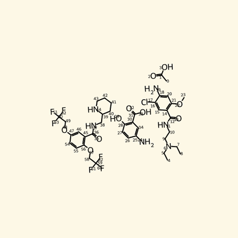 CC(=O)O.CCN(CC)CCNC(=O)c1cc(Cl)c(N)cc1OC.Nc1ccc(O)c(C(=O)O)c1.O=C(NCC1CCCCN1)c1cc(OCC(F)(F)F)ccc1OCC(F)(F)F